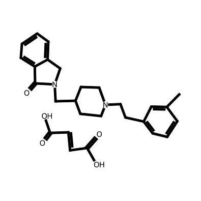 Cc1cccc(CCN2CCC(CN3Cc4ccccc4C3=O)CC2)c1.O=C(O)/C=C/C(=O)O